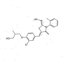 C=c1/c(=C/c2ccc(OCC(C)CO)c(Cl)c2)s/c(=N\CCC)n1-c1ccccc1C